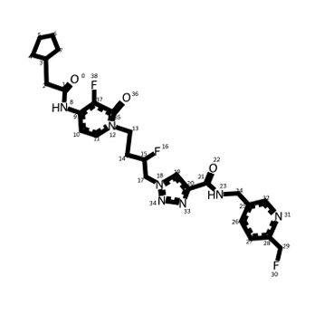 O=C(CC1CCCC1)Nc1ccn(CCC(F)Cn2cc(C(=O)NCc3ccc(CF)nc3)nn2)c(=O)c1F